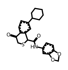 O=C1CSC(C(=O)Nc2ccc3c(c2)OCO3)c2cc(C3CCCCC3)ccc21